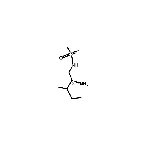 CCC(C)[C@H](N)CNS(C)(=O)=O